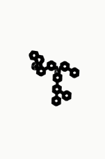 c1ccc(-c2cccc(N(c3ccc(-c4ccc(-c5ccccc5)c(-c5ccccc5)c4)cc3)c3cccc(-c4cccc5oc6c7ccccc7ccc6c45)c3)c2)cc1